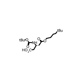 CC(C)(C)CCCCOC(=O)C[C@H](CC(=O)O)NC(=O)OC(C)(C)C